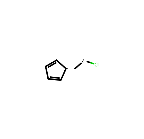 [CH3][Zr][Cl].[CH]1C=CC=C1